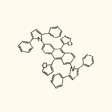 c1ccc(-c2ccc(-c3ccccc3)n2-c2ccc3c(-c4ccco4)c4cc(-n5c(-c6ccccc6)ccc5-c5ccccc5)ccc4c(-c4ccco4)c3c2)cc1